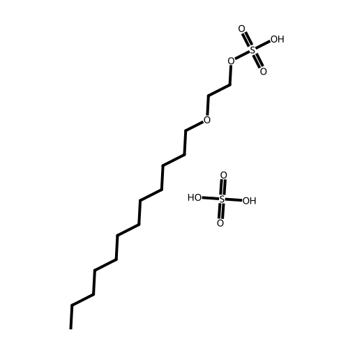 CCCCCCCCCCCCOCCOS(=O)(=O)O.O=S(=O)(O)O